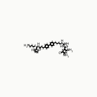 N=C(NCCCCc1ccc(-c2ccc(CCC(=O)N[C@@H](CCCCN)c3nnn[nH]3)cc2)cc1)NC(=O)c1nc(Cl)c(N)nc1N